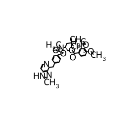 COc1ccc(C(=O)OC[C@H](CC(C)C)N(C)S(=O)(=O)c2ccc(Cc3nccc4[nH]c(C)nc34)cc2)cc1OC